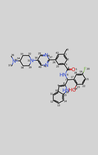 Cc1cc(C(=O)NC(c2cc3ccccc3[nH]2)c2cc(F)ccc2O)cc(-c2ncc(N3CCC(N(C)C)CC3)cn2)c1